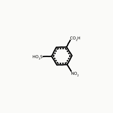 O=C(O)c1cc([N+](=O)[O-])cc(S(=O)(=O)O)c1